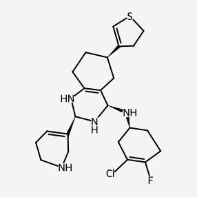 FC1=C(Cl)C[C@@H](N[C@H]2N[C@@H](C3=CCCNC3)NC3=C2C[C@H](C2=CSCC2)CC3)CC1